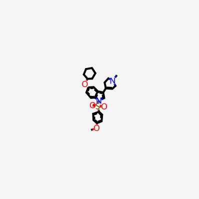 COc1ccc(S(=O)(=O)n2cc(C3=CCN(C)CC3)c3cc(OC4CCCCC4)ccc32)cc1